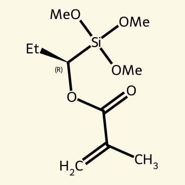 C=C(C)C(=O)O[C@@H](CC)[Si](OC)(OC)OC